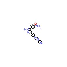 Cc1c(C(N)=O)ccc(-c2c[nH]c3ncc(-c4ccc(N5CCN(C6CCN(C)CC6)CC5)cc4)cc23)c1C